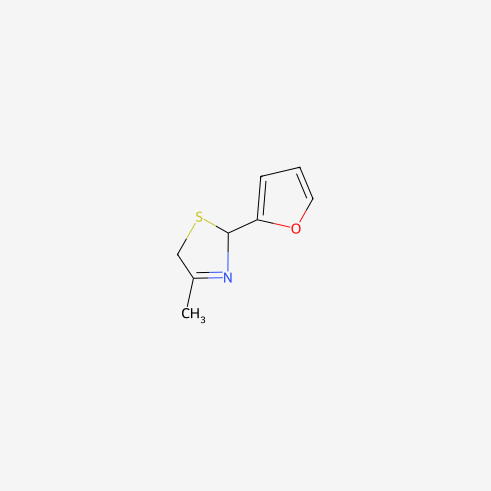 CC1=NC(c2ccco2)SC1